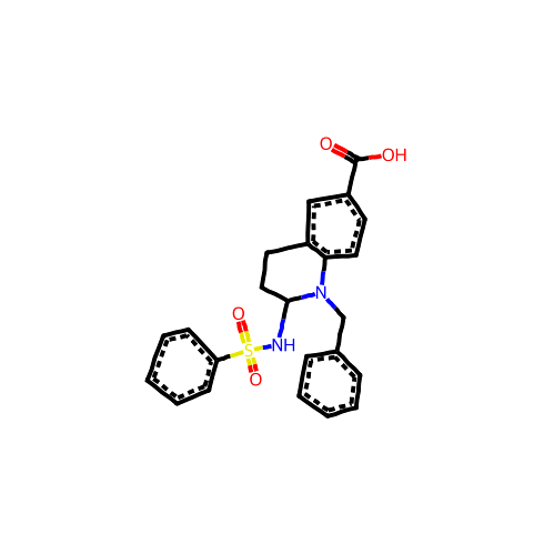 O=C(O)c1ccc2c(c1)CCC(NS(=O)(=O)c1ccccc1)N2Cc1ccccc1